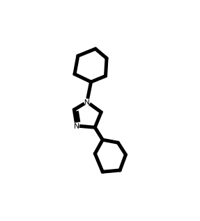 C1=NC(C2CCCCC2)CN1C1CCCCC1